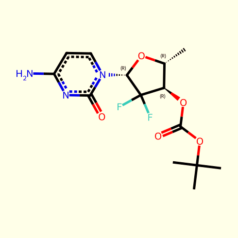 C[C@H]1O[C@@H](n2ccc(N)nc2=O)C(F)(F)[C@@H]1OC(=O)OC(C)(C)C